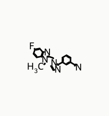 CCn1c(Cn2ccnc2-c2cccc(C#N)c2)nc2cc(F)ccc21